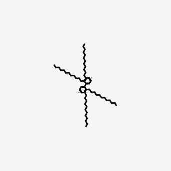 CCCCCCCCCCCCc1[c]ccc(-c2cc[c]c(CCCCCCCCCCCC)c2CCCCCCCCCCCC)c1CCCCCCCCCCCC